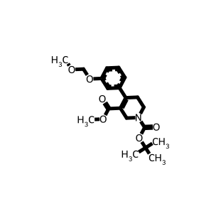 COCOc1cccc(C2=C(C(=O)OC)CN(C(=O)OC(C)(C)C)CC2)c1